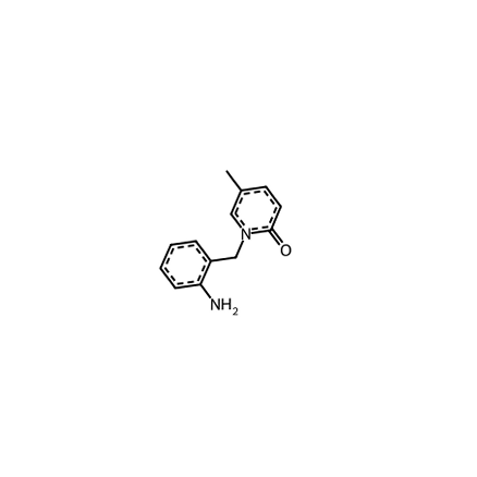 Cc1ccc(=O)n(Cc2ccccc2N)c1